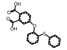 O=C(O)c1ccc(Oc2ccccc2Sc2ccccc2)cc1C(=O)O